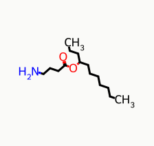 CCCCCCCC(CCC)OC(=O)CCCN